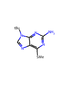 CSc1nc(N)nc2c1ncn2C(C)(C)C